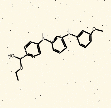 CCOC(O)c1ccc(Nc2cccc(Nc3cccc(OC)c3)c2)cn1